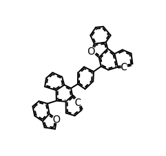 c1cc(-c2c3ccccc3c(-c3ccc(-c4cc5ccccc5c5c4oc4ccccc45)cc3)c3ccccc23)c2occc2c1